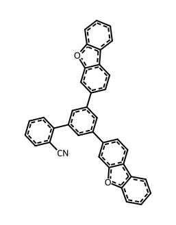 N#Cc1ccccc1-c1cc(-c2ccc3c(c2)oc2ccccc23)cc(-c2ccc3c(c2)oc2ccccc23)c1